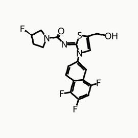 O=C(N=c1sc(CO)cn1-c1ccc2c(F)c(F)cc(F)c2c1)N1CC[C@@H](F)C1